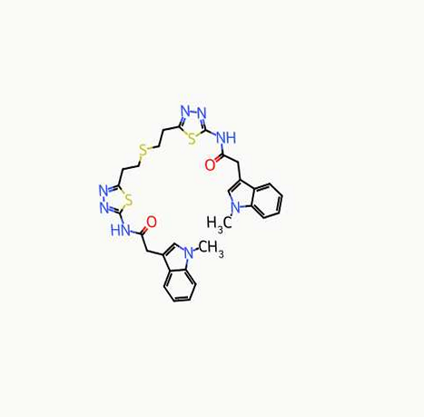 Cn1cc(CC(=O)Nc2nnc(CCSCCc3nnc(NC(=O)Cc4cn(C)c5ccccc45)s3)s2)c2ccccc21